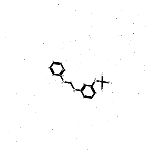 FC(F)(F)Oc1cccc(OCSc2ccccc2)c1